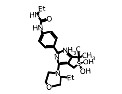 CCNC(=O)Nc1ccc(-c2nc(N3CCOCC3CC)c3c(n2)C(C)(C)S(O)(O)C3)cc1